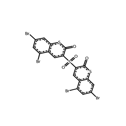 O=c1sc2cc(Br)cc(Br)c2cc1S(=O)(=O)c1cc2c(Br)cc(Br)cc2sc1=O